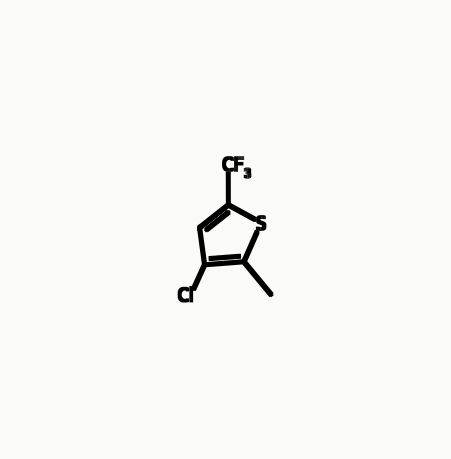 Cc1sc(C(F)(F)F)cc1Cl